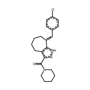 O=C(c1n[nH]c2c1CCCC/C2=C\c1ccc(Cl)cc1)N1CCCCC1